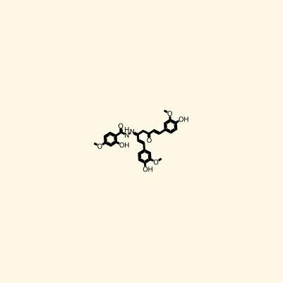 COc1ccc(C(=O)NN=C(C=Cc2ccc(O)c(OC)c2)CC(=O)C=Cc2ccc(O)c(OC)c2)c(O)c1